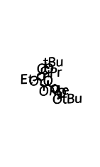 CCOc1cc(OC(=O)C(C)(C)C)c(C(C)C)cc1C=C(OC)C(=O)c1ccc(OC(=O)C(C)(C)C)cc1